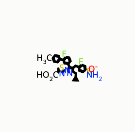 Cc1ccc(-c2cc(-c3c(Cc4ccc([S+](N)[O-])cc4F)c(CC4CC4)nn3-c3nc(C(=O)O)cs3)ccc2F)cc1